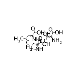 CC(C)C[C@H](N)C(=O)O.C[C@@H](O)[C@H](N)C(=O)O.O=C(O)[C@@H]1CCCN1